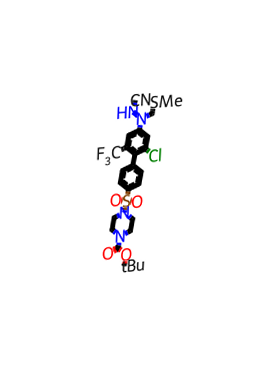 CSCN(NC#N)c1cc(Cl)c(-c2ccc(S(=O)(=O)N3CCN(C(=O)OC(C)(C)C)CC3)cc2)c(C(F)(F)F)c1